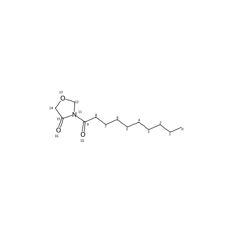 CCCCCCCCCC(=O)N1COCC1=O